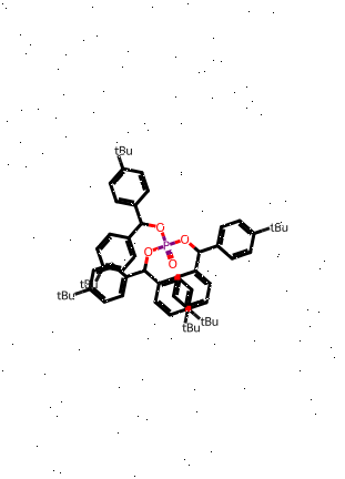 CC(C)(C)c1ccc(C(OP(=O)(OC(c2ccc(C(C)(C)C)cc2)c2ccc(C(C)(C)C)cc2)OC(c2ccc(C(C)(C)C)cc2)c2ccc(C(C)(C)C)cc2)c2ccc(C(C)(C)C)cc2)cc1